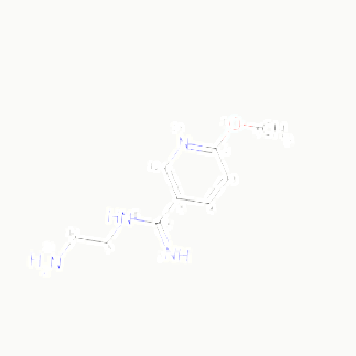 COc1ccc(C(=N)NCCN)cn1